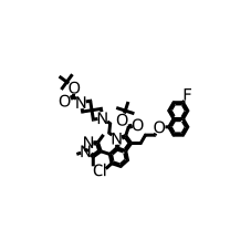 Cc1nn(C)c(C)c1-c1c(Cl)ccc2c(CCCOc3cccc4cc(F)ccc34)c(C(=O)OC(C)(C)C)n(CCN3CC4(C3)CN(C(=O)OC(C)(C)C)C4)c12